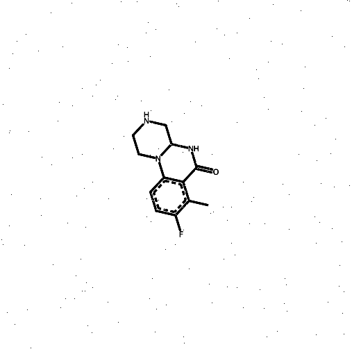 Cc1c(F)ccc2c1C(=O)NC1CNCCN21